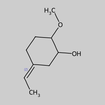 C/C=C1/CCC(OC)C(O)C1